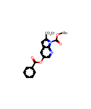 CCOC(=O)c1cc2cc(OC(=O)c3ccccc3)cnc2n1C(=O)OC(C)(C)C